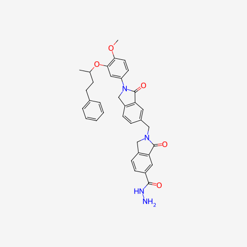 COc1ccc(N2Cc3ccc(CN4Cc5ccc(C(=O)NN)cc5C4=O)cc3C2=O)cc1OC(C)CCc1ccccc1